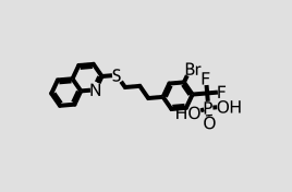 O=P(O)(O)C(F)(F)c1ccc(CCCSc2ccc3ccccc3n2)cc1Br